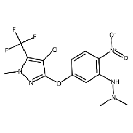 CN(C)Nc1cc(Oc2nn(C)c(C(F)(F)F)c2Cl)ccc1[N+](=O)[O-]